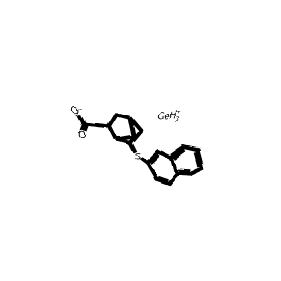 O=C([O-])C1CC2CC(Sc3ccc4ccccc4c3)C1C2.[GeH3+]